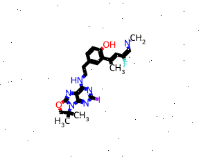 C=N/C=C(F)\C=C(/C)c1cc(CCNc2nc(I)nc3c2nc2n3C(C)(C)CO2)ccc1O